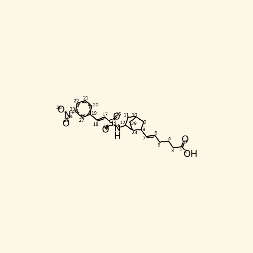 O=C(O)CCC/C=C/C1CC2CC(NS(=O)(=O)/C=C/c3cccc([N+](=O)[O-])c3)C1C2